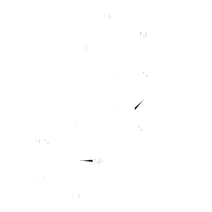 C[C@@H](O)[C@H](N)C(=O)N1CCC[C@H]1C(=O)N1CCCC1C(=O)N[C@H](C(N)=O)[C@@H](C)O